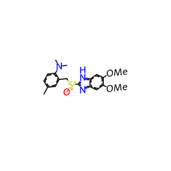 COc1cc2nc([S+]([O-])Cc3cc(C)ccc3N(C)C)[nH]c2cc1OC